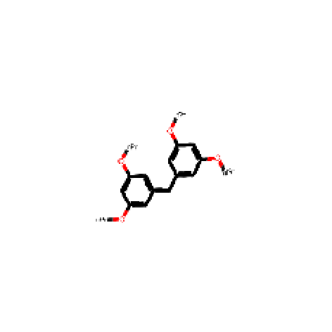 CCCOc1cc(Cc2cc(OCCC)cc(OCCC)c2)cc(OCCC)c1